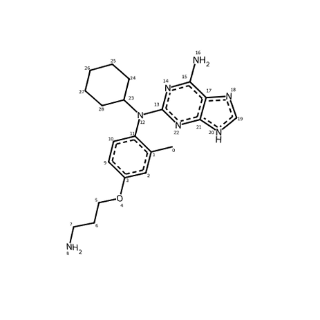 Cc1cc(OCCCN)ccc1N(c1nc(N)c2nc[nH]c2n1)C1CCCCC1